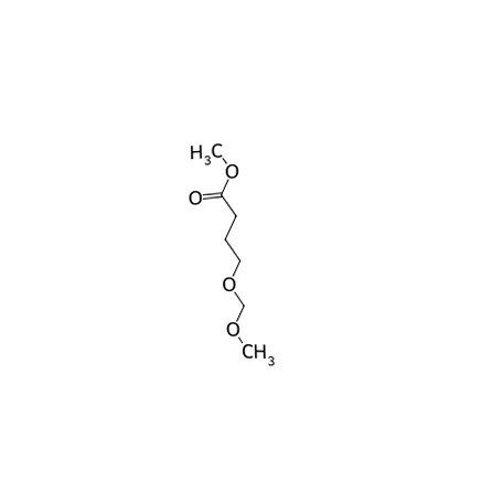 COCOCCCC(=O)OC